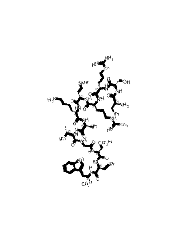 CSCC[C@H](NC(=O)[C@H](CCCNC(=N)N)NC(=O)[C@H](CCCNC(=N)N)NC(=O)[C@H](CO)NC(=O)[C@@H](N)CC(C)C)C(=O)N[C@@H](CCCCN)C(=O)N[C@H](C(=O)N[C@H](C(=O)NCC(=O)N[C@@H](CC(=O)O)C(=O)N[C@@H](CC(C)C)C(=O)N[C@@H](Cc1c[nH]c2ccccc12)C(=O)O)[C@@H](C)O)C(C)C